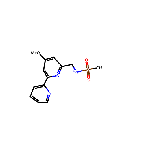 COc1cc(CNS(C)(=O)=O)nc(-c2ccccn2)c1